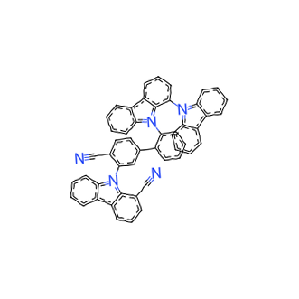 N#Cc1ccc(-c2ccccc2-n2c3ccccc3c3cccc(-n4c5ccccc5c5ccccc54)c32)cc1-n1c2ccccc2c2cccc(C#N)c21